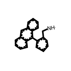 [NH]Cc1ccccc1-c1c2ccccc2cc2ccccc12